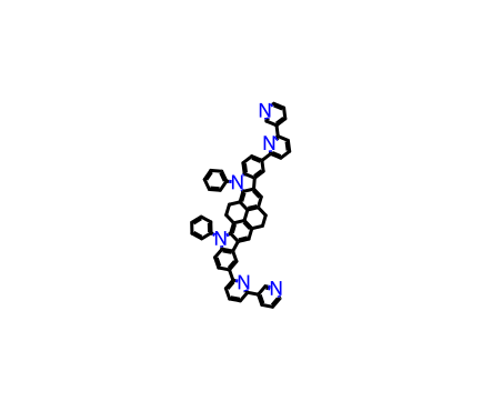 c1ccc(-n2c3ccc(-c4cccc(-c5cccnc5)n4)cc3c3cc4c5c(c32)CCc2c-5c(cc3c5cc(-c6cccc(-c7cccnc7)n6)ccc5n(-c5ccccc5)c23)CC4)cc1